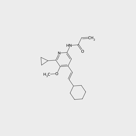 C=CC(=O)Nc1cc(/C=C/C2CCCCC2)c(OC)c(C2CC2)n1